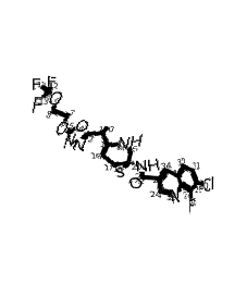 CC(c1nnc(OCCOC(F)(F)F)o1)C1CC2S[C@]2(NC(=O)c2cnc3c(F)c(Cl)ccc3c2)CN1